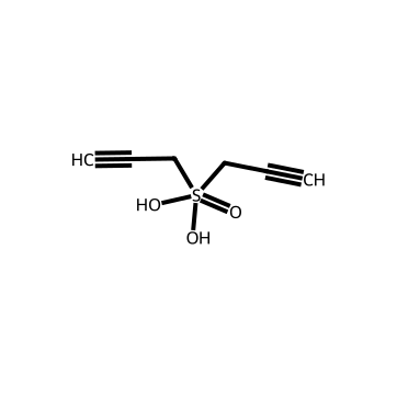 C#CCS(=O)(O)(O)CC#C